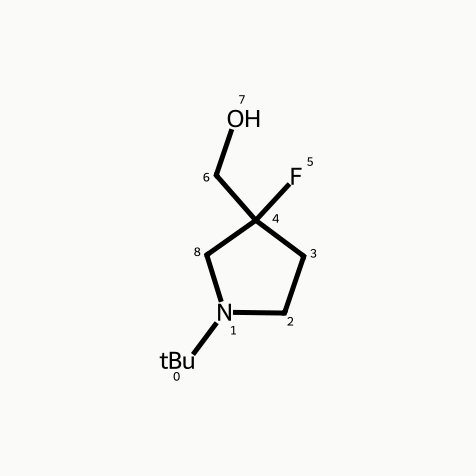 CC(C)(C)N1CCC(F)(CO)C1